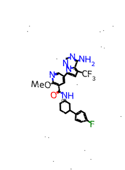 COc1ncc(-c2cc(C(F)(F)F)c3c(N)ncnn23)cc1C(=O)N[C@H]1CCCC(c2ccc(F)cc2)C1